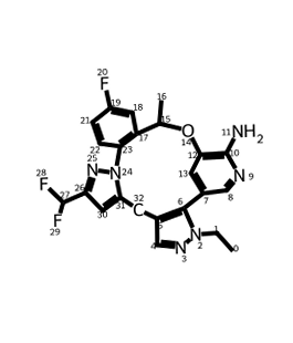 CCn1ncc2c1-c1cnc(N)c(c1)OC(C)c1cc(F)ccc1-n1nc(C(F)F)cc1C2